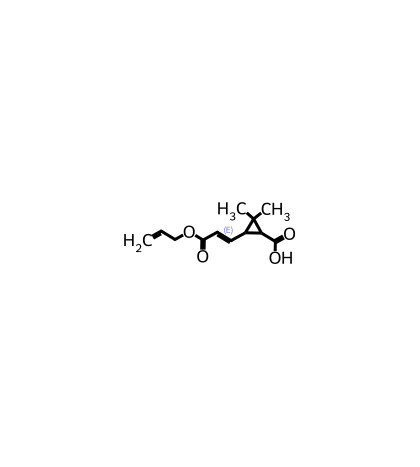 C=CCOC(=O)/C=C/C1C(C(=O)O)C1(C)C